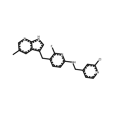 Cc1cnc2[nH]cc(Cc3ccc(NCc4ccnc(Cl)c4)nc3F)c2c1